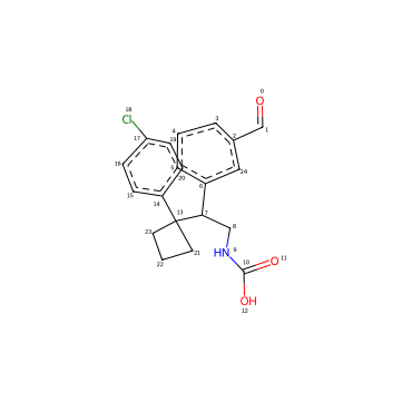 O=Cc1cccc(C(CNC(=O)O)C2(c3ccc(Cl)cc3)CCC2)c1